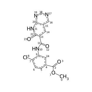 COC(=O)c1ccc(Cl)c(NC(=O)c2cc3cncnc3[nH]c2=O)c1